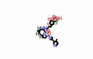 Cc1ccncc1C1CN(C(=O)[C@@H]2CC[C@@H]3C[C@@H]4C[C@@H]4C[C@H](NC(=O)c4cc5cc(C(F)(F)P(=O)(O)O)ccc5s4)C(=O)N32)C1